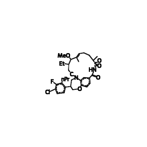 CCCc1c(C2COc3ccc4cc3N(CCC(CC)C(OC)/C(C)=C/CCC(C)S(=O)(=O)NC4=O)C2)ccc(Cl)c1F